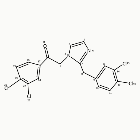 O=C(Cn1ccnc1Cc1ccc(Cl)c(Cl)c1)c1ccc(Cl)c(Cl)c1